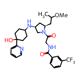 COC(C)C[C@@H]1C[C@H](NC2CCC(O)(c3ccccn3)CC2)CN1C(=O)CNC(=O)c1cccc(C(F)(F)F)c1